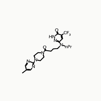 CCCN(CCCC(=O)N1CCN(c2ncc(C)cn2)CC1)c1cc(C(F)(F)F)c(=O)[nH]n1